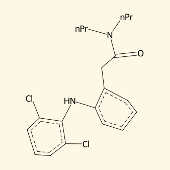 CCCN(CCC)C(=O)Cc1ccccc1Nc1c(Cl)cccc1Cl